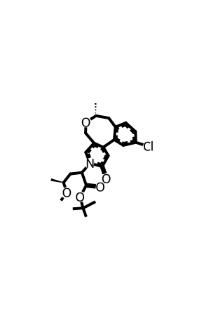 CO[C@@H](C)CC(C(=O)OC(C)(C)C)n1cc2c(cc1=O)-c1cc(Cl)ccc1C[C@@H](C)OC2